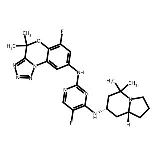 CC1(C)Oc2c(F)cc(Nc3ncc(F)c(N[C@H]4C[C@H]5CCCN5C(C)(C)C4)n3)cc2-n2nnnc21